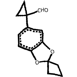 O=CC1(c2ccc3c(c2)OC2(CCC2)O3)CC1